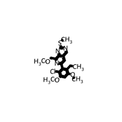 CCc1c(OC)cc(OC)c(Cl)c1-c1cc2cnc(SC)nc2c(COC)n1